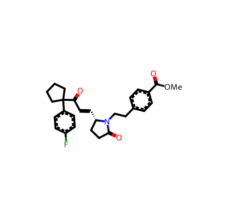 COC(=O)c1ccc(CCN2C(=O)CC[C@@H]2/C=C/C(=O)C2(c3ccc(F)cc3)CCCC2)cc1